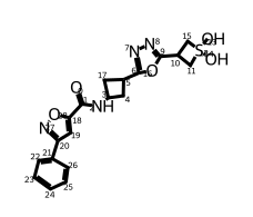 O=C(NC1CC(c2nnc(C3CS(O)(O)C3)o2)C1)c1cc(-c2ccccc2)no1